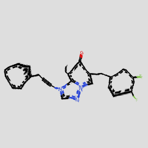 Cc1c(=O)c(Cc2ccc(F)c(F)c2)cn2ncn(C#Cc3ccccc3)c12